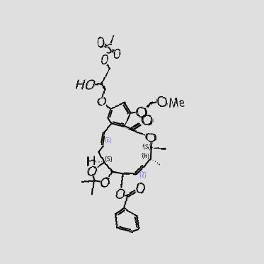 COCOc1cc(OCC(O)COS(C)(=O)=O)cc2c1C(=O)O[C@@H](C)[C@H](C)/C=C\C(OC(=O)c1ccccc1)C1OC(C)(C)O[C@H]1C/C=C/2